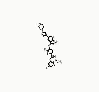 COc1ncc(F)cc1CNc1ccc(Cc2c[nH]c3ncc(-c4cnn(C5CCNCC5)c4)cc23)c(F)n1